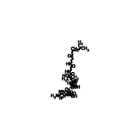 CC(C)CCCC(C)CCC(=O)SCCNC(=O)CCNC(=O)[C@H](O)C(C)(C)COP(=O)(O)OP(=O)(O)OC[C@H]1O[C@@H](n2cnc3c(N)ncnc32)[C@H](O)[C@@H]1OP(=O)(O)O